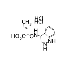 CC=CC(ONC1CNNc2ccccc21)C(=O)O.Cl.Cl